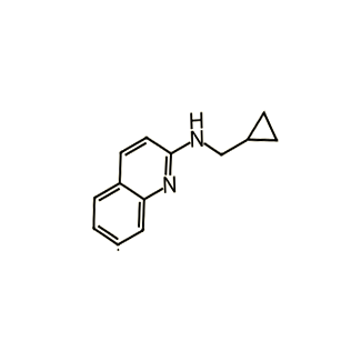 [c]1ccc2ccc(NCC3CC3)nc2c1